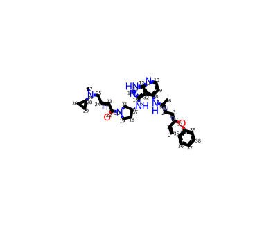 C=C/C(=C\C=C(/C)Nc1ccnc2[nH]nc(N[C@@H]3CCN(C(=O)/C=C/CN(C)C4CC4)C3)c12)Oc1ccccc1